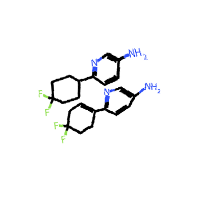 Nc1ccc(C2=CCC(F)(F)CC2)nc1.Nc1ccc(C2CCC(F)(F)CC2)nc1